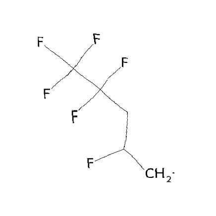 [CH2]C(F)CC(F)(F)C(F)(F)F